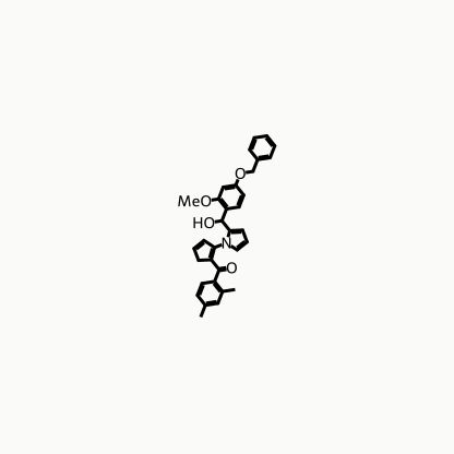 COc1cc(OCc2ccccc2)ccc1C(O)c1cccn1C1=C(C(=O)c2ccc(C)cc2C)CC=C1